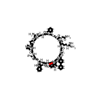 CC(C)C[C@@H]1NC(=O)[C@H](Cc2cnc[nH]2)NC(=O)C2CCCN2C(=O)[C@H](CC(N)=O)NC(=O)[C@H](C)NC(=O)[C@H](Cc2ccccc2)NC(=O)CSCC(C(=O)NCC(N)=O)NC(=O)C(CCCNC(=N)N)NC(=O)[C@H](C)N(C)C(=O)[C@H](Cc2ccc(-c3ccccc3)cc2)NC(=O)[C@H](Cc2c[nH]c3ccccc23)NC(=O)C(CO)NC(=O)[C@H](Cc2c[nH]c3ccccc23)NC(=O)CNC1=O